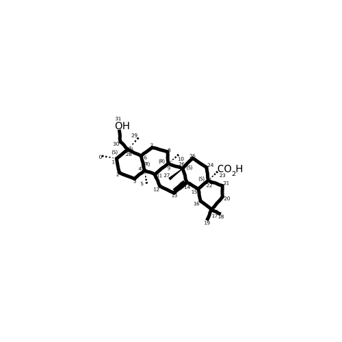 C[C@H]1CC[C@@]2(C)C(CC[C@]3(C)C2CC=C2C4CC(C)(C)CC[C@]4(C(=O)O)CC[C@]23C)[C@]1(C)CO